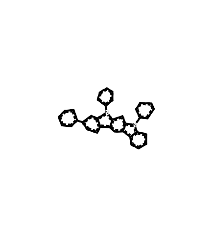 c1ccc(-c2ccc3c4cc5c6ccccc6n(-c6ccccc6)c5cc4n(-c4ccccc4)c3c2)cc1